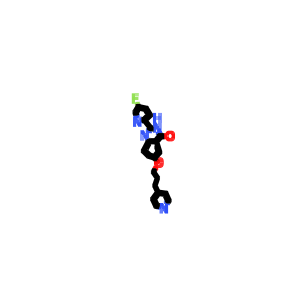 O=c1[nH]c(-c2ccc(F)cn2)nc2ccc(OCCCc3ccncc3)cc12